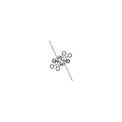 CCCCCCCCCCCC[C@@](O)(C(O)C(c1ccccc1)(c1ccccc1)c1ccccc1)[C@@H](O)[C@H](O)[C@@](O)(CCCCCCCCCCCC)C(O)C(c1ccccc1)(c1ccccc1)c1ccccc1